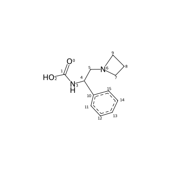 O=C(O)NC(CN1CCC1)c1ccccc1